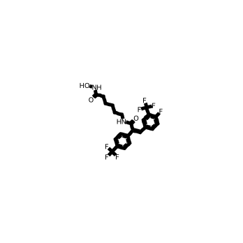 O=C(CCCCCNC(=O)C(=Cc1ccc(F)c(C(F)(F)F)c1)c1ccc(C(F)(F)F)cc1)NO